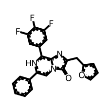 O=c1c(Cc2ccco2)nc2c(-c3cc(F)c(F)c(F)c3)[nH]c(-c3ccccc3)cn1-2